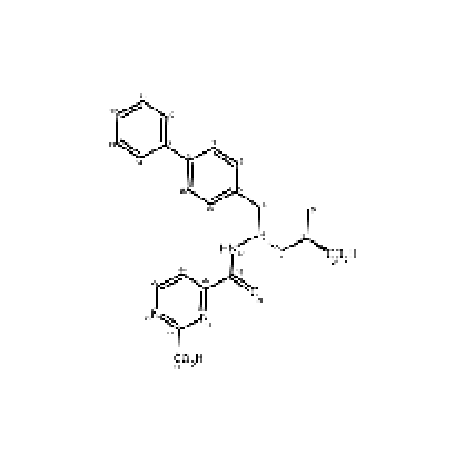 C[C@H](C[C@@H](Cc1ccc(-c2ccccc2)cc1)NC(=O)c1ccnc(C(=O)O)n1)C(=O)O